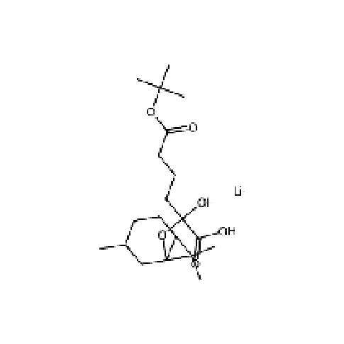 CC1CCC2C(C)(C)C2(OC(O)(CCCC(=O)OC(C)(C)C)C(=O)O)C1.[Li]